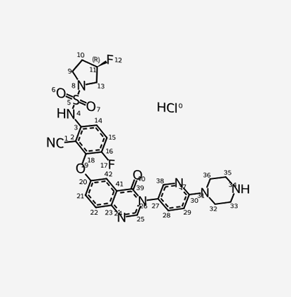 Cl.N#Cc1c(NS(=O)(=O)N2CC[C@@H](F)C2)ccc(F)c1Oc1ccc2ncn(-c3ccc(N4CCNCC4)nc3)c(=O)c2c1